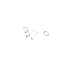 Cn1c(=O)c(C#N)c(N2CCC(COc3ccccc3Cl)CC2)c2ccccc21